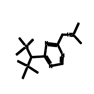 C[SiH](C)Cc1ncnc(C([Si](C)(C)C)[Si](C)(C)C)n1